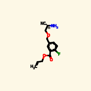 C=CCOC(=O)c1cc(COC[C@@H](N)C#N)ccc1F